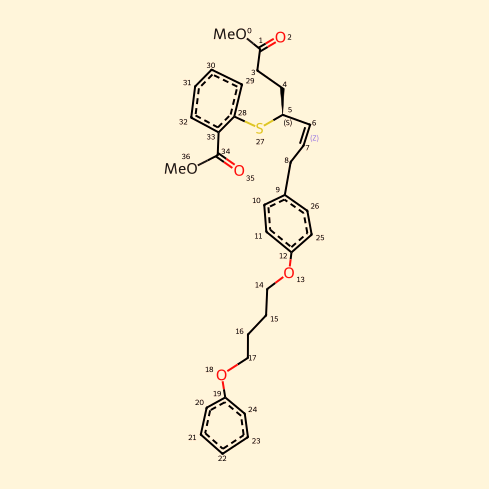 COC(=O)CC[C@@H](/C=C\Cc1ccc(OCCCCOc2ccccc2)cc1)Sc1ccccc1C(=O)OC